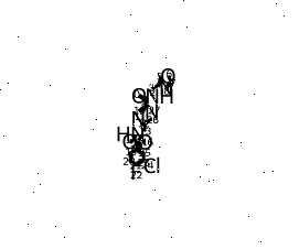 O=C(NCc1cocn1)c1cnc(CNS(=O)(=O)c2ccc(F)c(Cl)c2)cn1